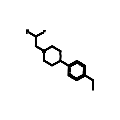 CCc1ccc(C2CCN(CC(F)F)CC2)cc1